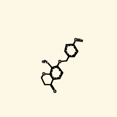 CCCc1c(OCc2ccc(OC)cc2)ccc2c1OCCC2=O